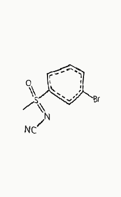 CS(=O)(=NC#N)c1cccc(Br)c1